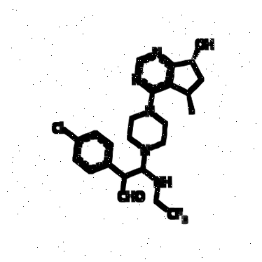 C[C@@H]1C[C@@H](O)c2ncnc(N3CCN(C(NCC(F)(F)F)C(C=O)c4ccc(Cl)cc4)CC3)c21